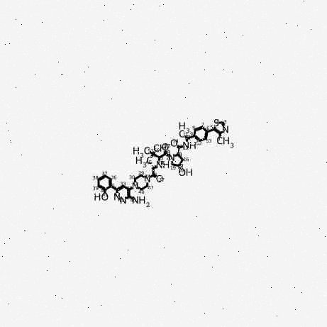 Cc1ncsc1-c1ccc([C@H](C)NC(=O)[C@H]2C[C@H](O)CN2C(=O)C(NCC(=O)N2CCN(c3cc(-c4ccccc4O)nnc3N)CC2)C(C)(C)C)cc1